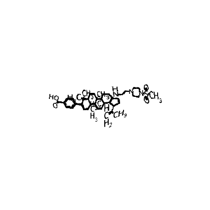 C=C(C)[C@@H]1CC[C@]2(NCCN3CCN(S(C)(=O)=O)CC3)CC[C@]3(C)[C@H](CCC4[C@@]5(C)CC=C(c6ccc(C(=O)O)cc6)C(C)(C)C5CC[C@]43C)C12